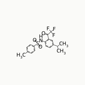 Cc1ccc(S(=O)(=O)Nc2ccc(C(C)C)cc2C(=O)C(F)(F)F)cc1